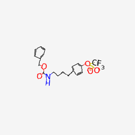 O=C(NCCCCc1ccc(OS(=O)(=O)C(F)(F)F)cc1)OCc1ccccc1